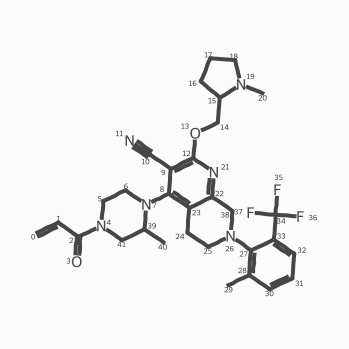 C=CC(=O)N1CCN(c2c(C#N)c(OCC3CCCN3C)nc3c2CCN(c2c(C)cccc2C(F)(F)F)C3)C(C)C1